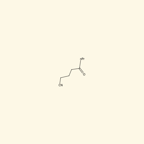 CCCC(=O)CCCC#N